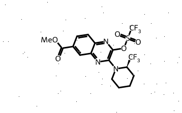 COC(=O)c1ccc2nc(OS(=O)(=O)C(F)(F)F)c(N3CCCC[C@@H]3C(F)(F)F)nc2c1